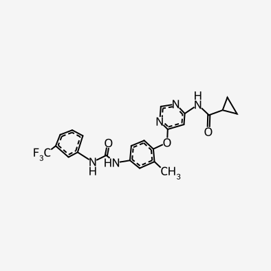 Cc1cc(NC(=O)Nc2cccc(C(F)(F)F)c2)ccc1Oc1cc(NC(=O)C2CC2)ncn1